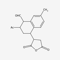 CC(=O)C1CC(C2CC(=O)OC2=O)c2ccc(C)cc2C1C=O